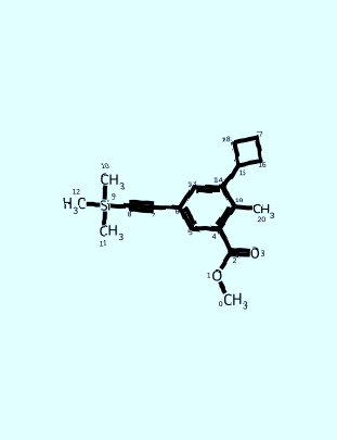 COC(=O)c1cc(C#C[Si](C)(C)C)cc(C2CCC2)c1C